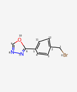 BrCc1ccc(-c2nnco2)cc1